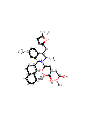 CC(C(Cc1ccc(C(=O)O)o1)c1ccc([N+](=O)[O-])cc1)N(Cc1ccc2ccccc2c1)C(=O)CC(CC(=O)OC(C)(C)C)C(=O)OC(C)(C)C